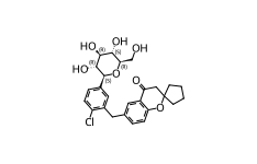 O=C1CC2(CCCC2)Oc2ccc(Cc3cc([C@@H]4O[C@H](CO)[C@@H](O)[C@H](O)[C@H]4O)ccc3Cl)cc21